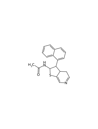 CC(=O)NC1SC2=CN=CCC2C1c1cccc2ccccc12